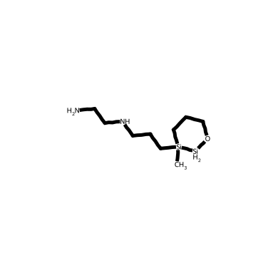 C[Si]1(CCCNCCN)CCCO[SiH2]1